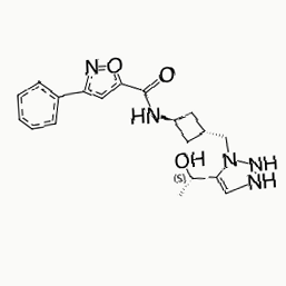 C[C@H](O)C1=CNNN1C[C@H]1C[C@H](NC(=O)c2cc(-c3ccccc3)no2)C1